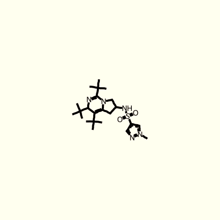 Cn1cc(S(=O)(=O)NC2CC3=C(C(C)(C)C)C(C(C)(C)C)N=C(C(C)(C)C)N3C2)cn1